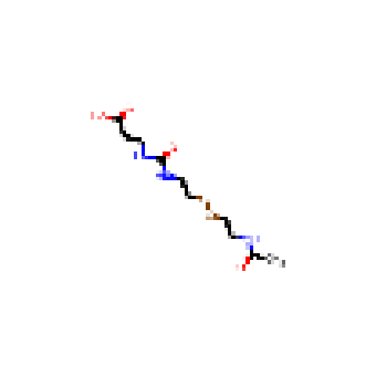 CC(=O)NCCSSCCNC(=O)NCCC(=O)O